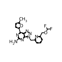 Cc1ccc(-c2nc(N)nc3c2nnn3Cc2cccc(COC(F)F)n2)o1